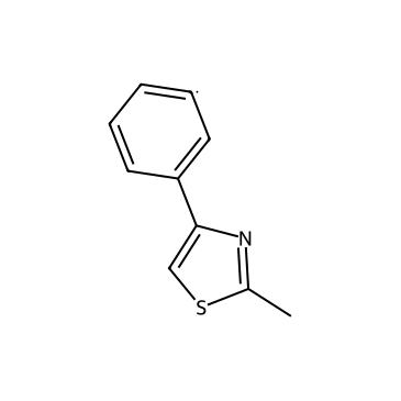 Cc1nc(-c2c[c]ccc2)cs1